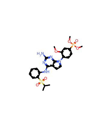 COc1cc(P(=O)(OC)OC)ccc1-n1ccc2c(Nc3ccccc3S(=O)(=O)C(C)C)nc(N)nc21